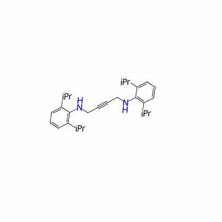 CC(C)c1cccc(C(C)C)c1NCC#CCNc1c(C(C)C)cccc1C(C)C